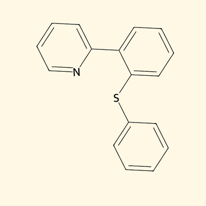 c1ccc(Sc2ccccc2-c2ccccn2)cc1